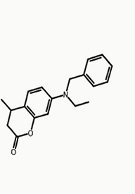 CCN(Cc1ccccc1)c1ccc2c(c1)OC(=O)CC2C